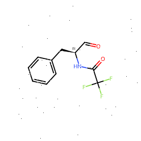 O=C[C@H](Cc1ccccc1)NC(=O)C(F)(F)F